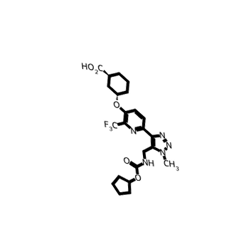 Cn1nnc(-c2ccc(O[C@H]3CCC[C@H](C(=O)O)C3)c(C(F)(F)F)n2)c1CNC(=O)OC1CCCC1